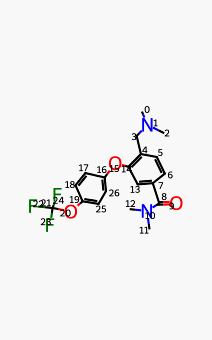 CN(C)Cc1ccc(C(=O)N(C)C)cc1Oc1ccc(OC(F)(F)F)cc1